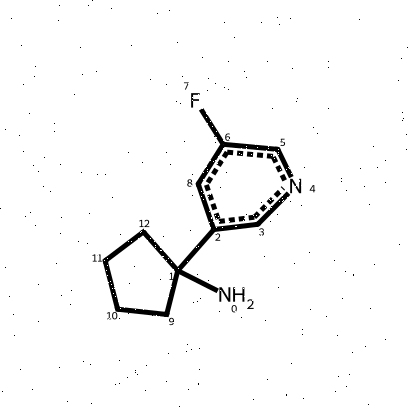 NC1(c2cncc(F)c2)CCCC1